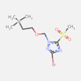 C[Si](C)(C)CCOCn1nc(Br)nc1S(C)(=O)=O